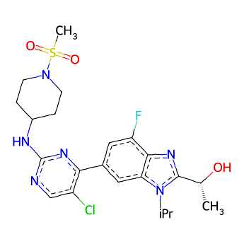 CC(C)n1c([C@@H](C)O)nc2c(F)cc(-c3nc(NC4CCN(S(C)(=O)=O)CC4)ncc3Cl)cc21